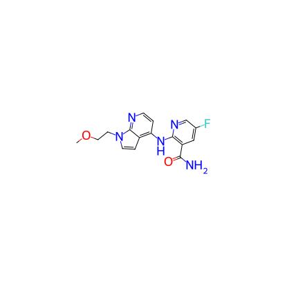 COCCn1ccc2c(Nc3ncc(F)cc3C(N)=O)ccnc21